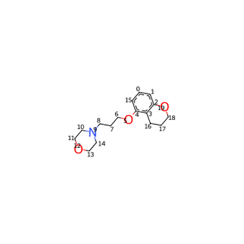 c1cc2c(c(OCCCN3CCOCC3)c1)CCCO2